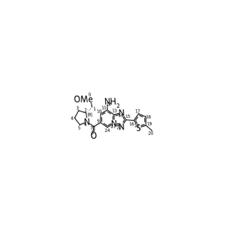 COC[C@H]1CCCN1C(=O)c1cc(N)c2nc(-c3ccc(C)s3)nn2c1